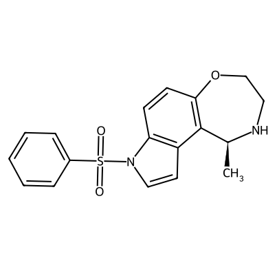 C[C@@H]1NCCOc2ccc3c(ccn3S(=O)(=O)c3ccccc3)c21